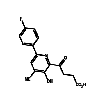 N#Cc1cc(-c2ccc(F)cc2)nc(C(=O)CCC(=O)O)c1O